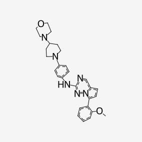 COc1ccccc1-c1ccc2cnc(Nc3ccc(N4CCC(N5CCOCC5)CC4)cc3)nn12